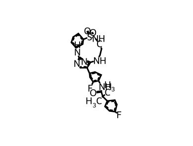 CC(C)(C(=O)Nc1ccc(-c2cnc3nc2NCCCNS(=O)(=O)c2cccc(c2)N3)cc1F)c1ccc(F)cc1